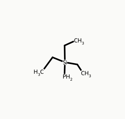 CC[Si](P)(CC)CC